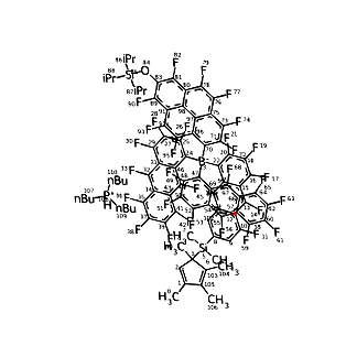 CC1=[C]C(C)([Si](C)(C)c2cc(F)c3c(F)c4c(F)c(F)c(F)c([B-](c5c(F)c(F)c(F)c6c(F)c7c(F)c(F)c(F)c(F)c7c(F)c56)(c5c(F)c(F)c(F)c6c(F)c7c(F)c(F)c(F)c(F)c7c(F)c56)c5c(F)c(F)c6c(F)c(F)c7c(F)c(O[Si](C(C)C)(C(C)C)C(C)C)c(F)c8c(F)c(F)c5c6c78)c4cc3c2)C(C)=C1C.CCCC[PH+](CCCC)CCCC